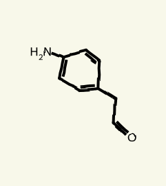 Nc1ccc(CC=O)cc1